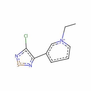 CC[n+]1cccc(-c2nsnc2Cl)c1